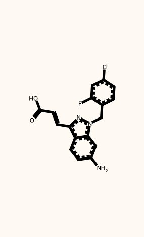 Nc1ccc2c(/C=C/C(=O)O)nn(Cc3ccc(Cl)cc3F)c2c1